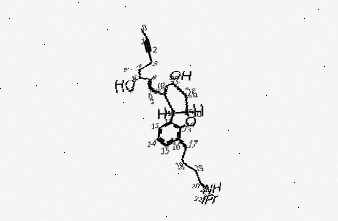 CC#CC[C@@H](C)[C@H](O)/C=C/[C@@H]1[C@H]2c3cccc(CCCCNC(C)C)c3O[C@H]2C[C@H]1O